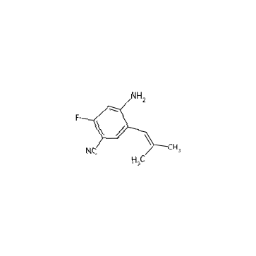 CC(C)=Cc1cc(C#N)c(F)cc1N